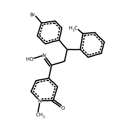 Cc1ccccc1C(CC(=NO)c1ccn(C)c(=O)c1)c1ccc(Br)cc1